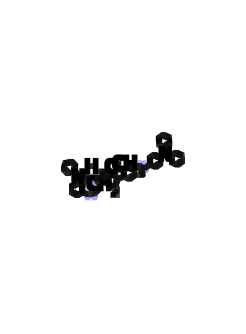 C=c1/c2n(-c3ccccc3)c3cccc(c13)/C=C\C/C(c1ccc3c(c1)C(C)(C)c1cc(/C=C/c4ccc(N(c5ccccc5)c5ccccc5)cc4)ccc1-3)=C\C=2